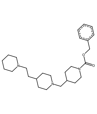 O=C(OCc1ccccc1)N1CCC(CN2CCC(CCN3CCCCC3)CC2)CC1